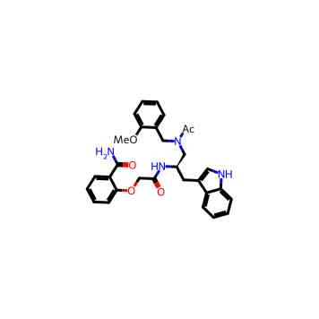 COc1ccccc1CN(C[C@@H](Cc1c[nH]c2ccccc12)NC(=O)COc1ccccc1C(N)=O)C(C)=O